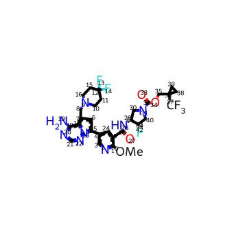 COc1ncc(-c2cc(CN3CCC(F)(F)CC3)c3c(N)ncnn23)cc1C(=O)N[C@@H]1CN(C(=O)OCC2(C(F)(F)F)CC2)C[C@@H]1F